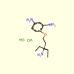 CCC(N)(CC)CCOc1ccc(N)cc1N.Cl.Cl